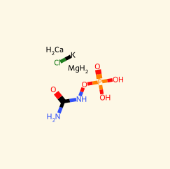 NC(=O)NOP(=O)(O)O.[CaH2].[Cl][K].[MgH2]